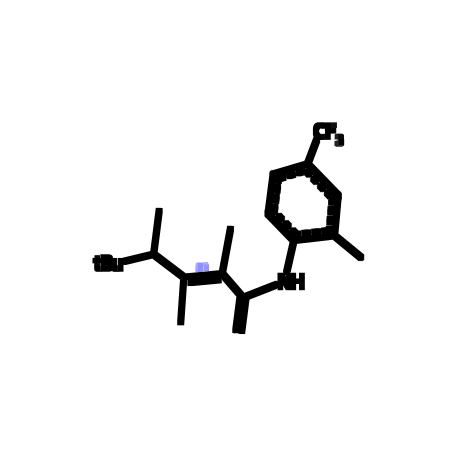 C=C(Nc1ccc(C(F)(F)F)cc1C)/C(C)=C(\C)C(C)C(C)(C)C